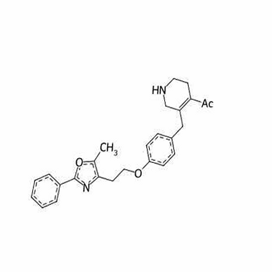 CC(=O)C1=C(Cc2ccc(OCCc3nc(-c4ccccc4)oc3C)cc2)CNCC1